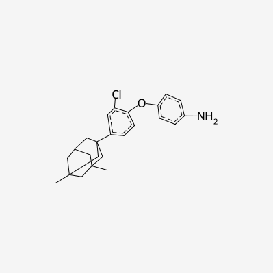 CC12CC3CC(C)(C1)CC(c1ccc(Oc4ccc(N)cc4)c(Cl)c1)(C3)C2